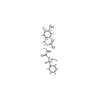 CCN(CC)[C@H](CNC(=O)C1C(C)[C@]1(C)c1ccccc1)Cc1ccc(O)c(C)c1